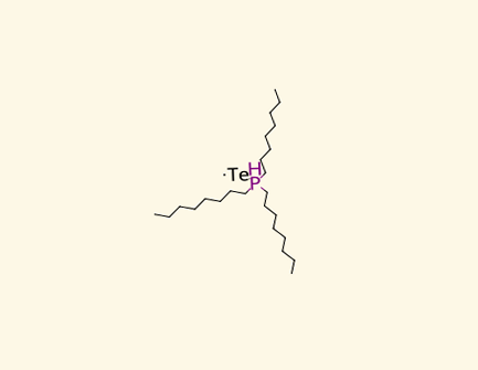 CCCCCCCC[PH]([Te])(CCCCCCCC)CCCCCCCC